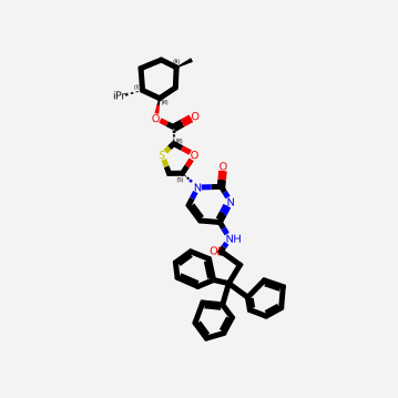 CC(C)[C@@H]1CC[C@@H](C)C[C@H]1OC(=O)[C@@H]1O[C@H](n2ccc(NC(=O)CC(c3ccccc3)(c3ccccc3)c3ccccc3)nc2=O)CS1